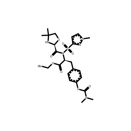 CN(C)C(=O)Oc1ccc(C[C@@H](C(=O)OCC(C)(C)C)N(C(=O)[C@H]2NC(C)(C)CS2)S(=O)(=O)c2ccn(C)n2)cc1